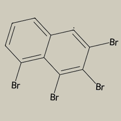 Brc1[c]c2cccc(Br)c2c(Br)c1Br